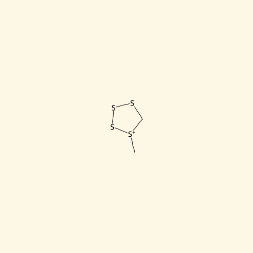 C[S+]1CSSS1